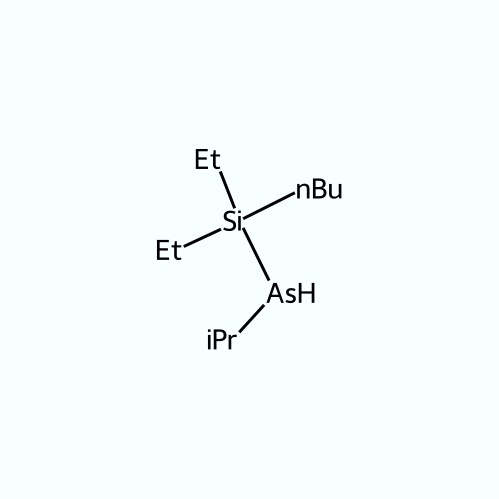 CCCC[Si](CC)(CC)[AsH]C(C)C